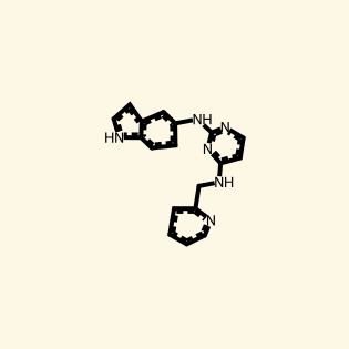 c1ccc(CNc2ccnc(Nc3ccc4[nH]ccc4c3)n2)nc1